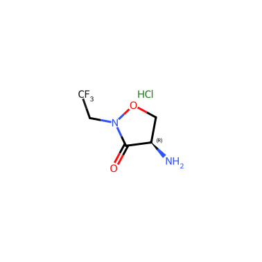 Cl.N[C@@H]1CON(CC(F)(F)F)C1=O